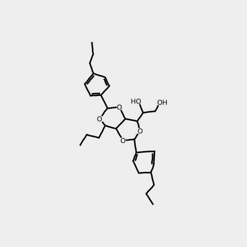 CCCc1ccc(C2OC(CCC)C3OC(C4=CCC(CCC)C=C4)OC(C(O)CO)C3O2)cc1